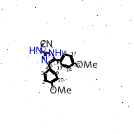 COc1ccc(-c2nc(NC#N)[nH]c2-c2ccc(OC)cc2)cc1